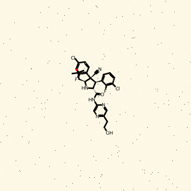 CC(C)(C)C[C@@H]1N[C@@H](C(=O)Nc2cnc(CCO)cn2)[C@H](c2cccc(Cl)c2F)[C@@]1(C#N)c1ccc(Cl)cc1F